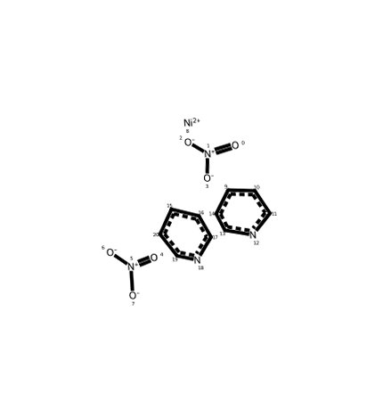 O=[N+]([O-])[O-].O=[N+]([O-])[O-].[Ni+2].c1ccncc1.c1ccncc1